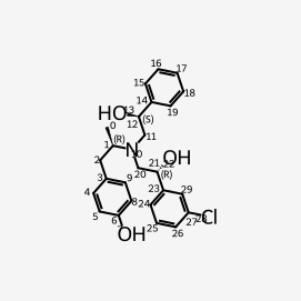 C[C@H](Cc1ccc(O)cc1)N(C[C@@H](O)c1ccccc1)C[C@H](O)c1cccc(Cl)c1